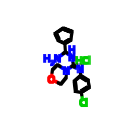 Cl.NC(N/C(=N/c1ccc(Cl)cc1)N1CCOCC1)c1ccccc1